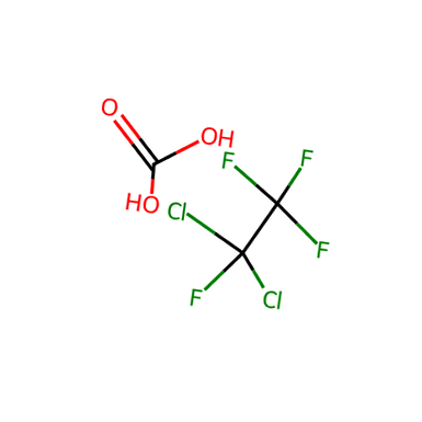 FC(F)(F)C(F)(Cl)Cl.O=C(O)O